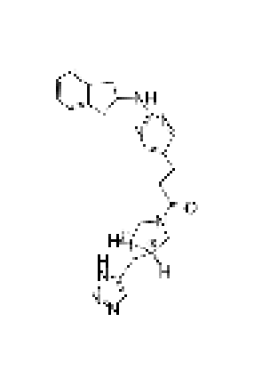 O=C(CCc1cnc(NC2Cc3ccccc3C2)nc1)N1C[C@@H]2C(c3cnn[nH]3)[C@@H]2C1